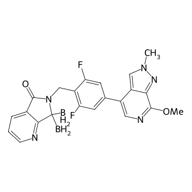 BC1(B)c2ncccc2C(=O)N1Cc1c(F)cc(-c2cnc(OC)c3nn(C)cc23)cc1F